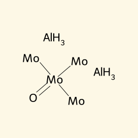 [AlH3].[AlH3].[O]=[Mo]([Mo])([Mo])[Mo]